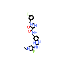 CCN1CC[C@@H](Nc2cnc3ccc(CNC(=O)c4cncn(Cc5ccc(F)c(F)c5)c4=O)cc3n2)[C@@H](F)C1